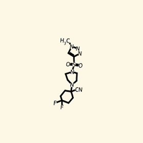 Cn1cc(S(=O)(=O)N2CCN(C3(C#N)CCC(F)(F)CC3)CC2)nn1